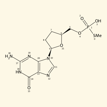 CSP(=O)(O)OC[C@@H]1CC[C@H](n2cnc3c(=O)[nH]c(N)nc32)O1